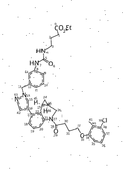 CCOC(=O)CCCNC(=O)Nc1cccc(Cn2cc(-c3cccc4c3[C@H]3C[C@H]3CN4C(=O)CCCOc3cccc(Cl)c3C)cn2)c1